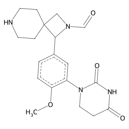 COc1ccc(C2N(C=O)CC23CCNCC3)cc1N1CCC(=O)NC1=O